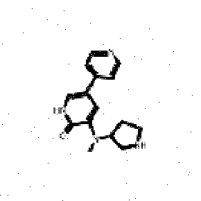 CN(c1cc(-c2ccncc2)c[nH]c1=O)C1CCNC1